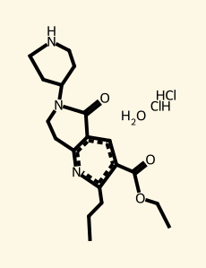 CCCc1nc2c(cc1C(=O)OCC)C(=O)N(C1CCNCC1)CC2.Cl.Cl.O